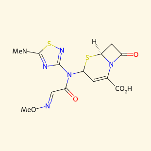 CNc1nc(N(C(=O)C=NOC)C2C=C(C(=O)O)N3C(=O)C[C@@H]3S2)ns1